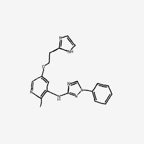 Cc1ncc(OCCc2ncc[nH]2)cc1Nc1ncn(-c2ccccc2)n1